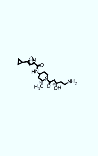 C[C@H]1CC(NC(=O)c2cc(C3CC3)on2)CCN1C(=O)C[C@H](O)CCN